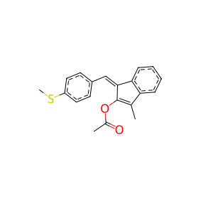 CSc1ccc(C=C2C(OC(C)=O)=C(C)c3ccccc32)cc1